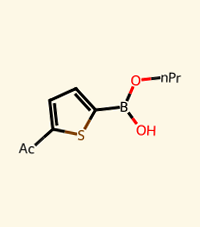 CCCOB(O)c1ccc(C(C)=O)s1